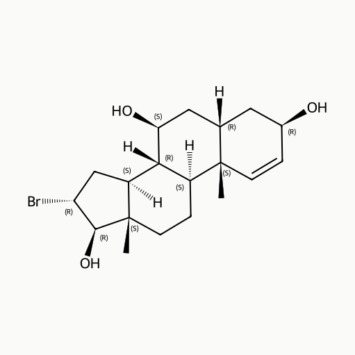 C[C@]12C=C[C@H](O)C[C@H]1C[C@H](O)[C@@H]1[C@@H]2CC[C@]2(C)[C@@H](O)[C@H](Br)C[C@@H]12